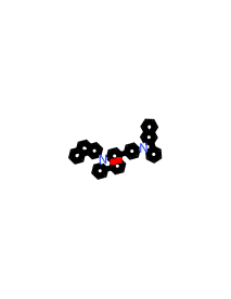 c1ccc(-c2ccccc2N(c2ccc(-c3ccc(-n4c5ccccc5c5cc6ccccc6cc54)cc3)cc2)c2ccc3ccc4ccccc4c3c2)cc1